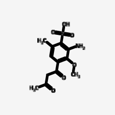 COc1c(C(=O)CC(C)=O)cc(C)c(S(=O)(=O)O)c1N